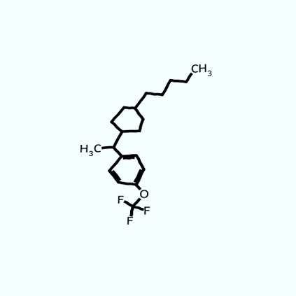 CCCCCC1CCC(C(C)c2ccc(OC(F)(F)F)cc2)CC1